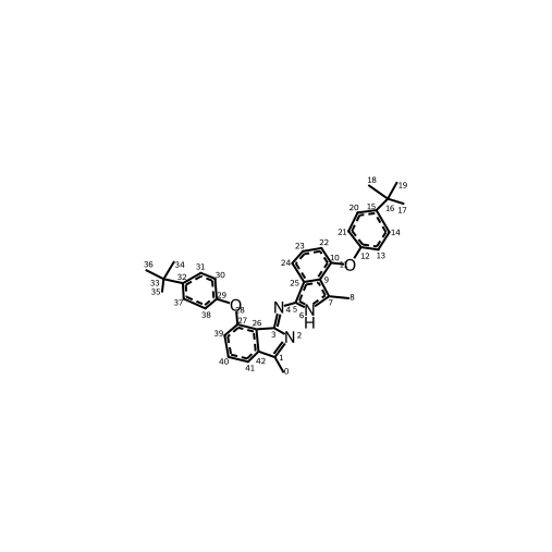 CC1=N/C(=N\c2[nH]c(C)c3c(Oc4ccc(C(C)(C)C)cc4)cccc23)c2c(Oc3ccc(C(C)(C)C)cc3)cccc21